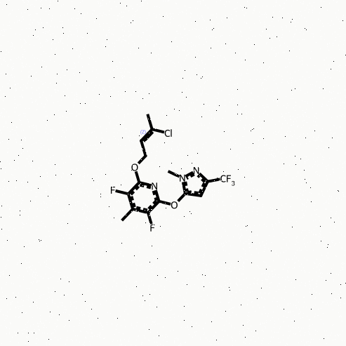 C/C(Cl)=C/COc1nc(Oc2cc(C(F)(F)F)nn2C)c(F)c(C)c1F